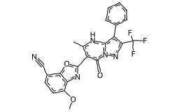 COc1ccc(C#N)c2oc(-c3c(C)[nH]c4c(-c5ccccc5)c(C(F)(F)F)nn4c3=O)nc12